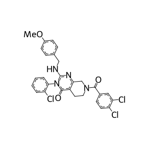 COc1ccc(CNc2nc3c(c(=O)n2-c2ccccc2Cl)CCN(C(=O)c2ccc(Cl)c(Cl)c2)C3)cc1